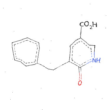 O=C(O)c1c[nH]c(=O)c(Cc2ccccc2)c1